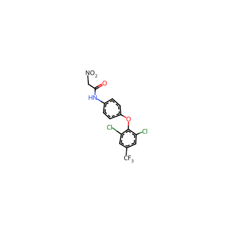 O=C(C[N+](=O)[O-])Nc1ccc(Oc2c(Cl)cc(C(F)(F)F)cc2Cl)cc1